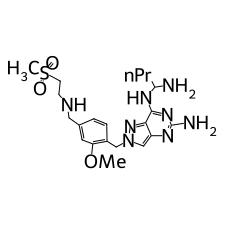 CCCC(N)Nc1nc(N)nc2cn(Cc3ccc(CNCCS(C)(=O)=O)cc3OC)nc12